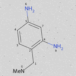 CNCc1ccc(N)cc1N